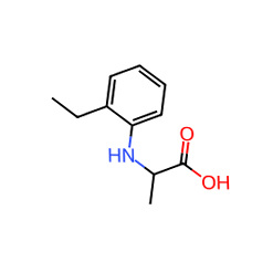 CCc1ccccc1NC(C)C(=O)O